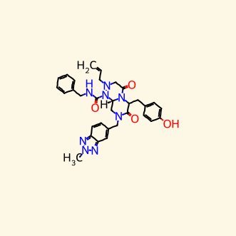 C=CCN1CC(=O)N2C(Cc3ccc(O)cc3)C(=O)N(Cc3ccc4nn(C)nc4c3)C[C@@H]2N1C(=O)NCc1ccccc1